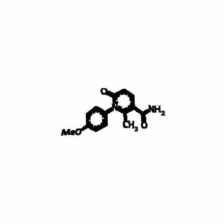 COc1ccc(-n2c(C)c(C(N)=O)ccc2=O)cc1